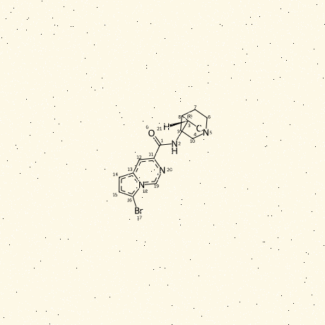 O=C(N[C@H]1CN2CCC1CC2)c1cc2ccc(Br)n2cn1